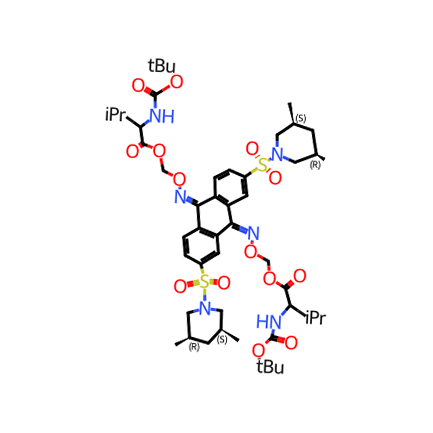 CC(C)C(NC(=O)OC(C)(C)C)C(=O)OCON=C1c2ccc(S(=O)(=O)N3C[C@H](C)C[C@H](C)C3)cc2C(=NOCOC(=O)C(NC(=O)OC(C)(C)C)C(C)C)c2cc(S(=O)(=O)N3C[C@H](C)C[C@H](C)C3)ccc21